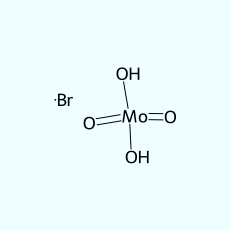 [Br].[O]=[Mo](=[O])([OH])[OH]